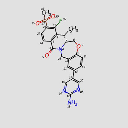 CCc1c(C(=O)N2CCOc3ccc(-c4cnc(N)nc4)cc3C2)ccc(S(C)(=O)=O)c1F